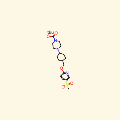 CC(C)(C)OC(=O)N1CCN(C2CCC(COc3ccc(S(C)(=O)=O)cn3)CC2)CC1